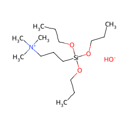 CCCO[Si](CCC[N+](C)(C)C)(OCCC)OCCC.[OH-]